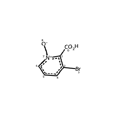 O=C(O)c1c(Br)ccc[n+]1[O-]